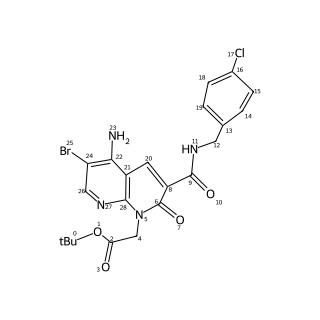 CC(C)(C)OC(=O)Cn1c(=O)c(C(=O)NCc2ccc(Cl)cc2)cc2c(N)c(Br)cnc21